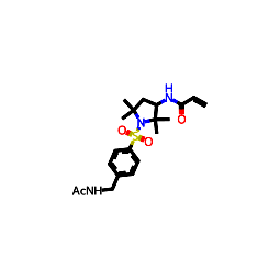 C=CC(=O)NC1CC(C)(C)N(S(=O)(=O)c2ccc(CNC(C)=O)cc2)C1(C)C